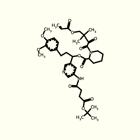 C=CC(=O)OCC(C)(C)C(=O)C(=O)N1CCCCC1C(=O)OC(CCc1ccc(OC)c(OC)c1)c1cncc(NC(=O)CCC(=O)OC(C)(C)C)c1